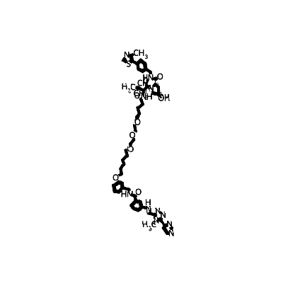 Cc1ncsc1-c1ccc(CNC(=O)[C@@H]2C[C@@H](O)CN2C(=O)[C@@H](NC(=O)CCCCOCCOCCOCCCCCCOc2cccc(CNC(=O)c3cccc(NCc4nnc(-c5ccncn5)n4C)c3)c2)C(C)(C)C)cc1